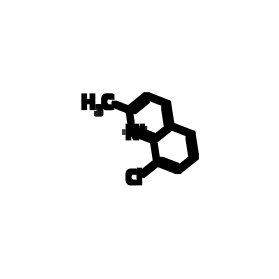 CC1=CC=c2cccc(Cl)c2=[N+]1